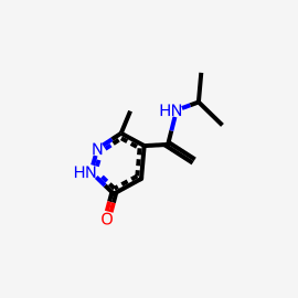 C=C(NC(C)C)c1cc(=O)[nH]nc1C